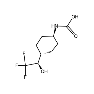 O=C(O)N[C@H]1CC[C@H]([C@@H](O)C(F)(F)F)CC1